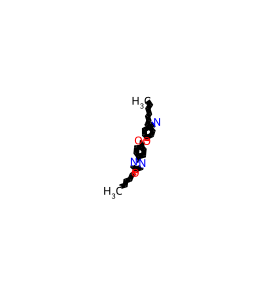 CCCCCCCC1(C#N)CCC(OC(=O)c2ccc(-c3ncc(OCCCCCC)cn3)cc2)CC1